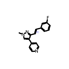 Cn1cc(-c2ccncc2)c(/C=C/c2cccc(F)c2)n1